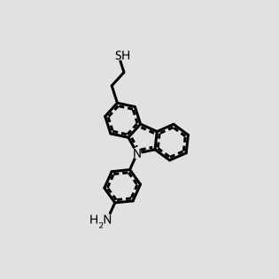 Nc1ccc(-n2c3ccccc3c3cc(CCS)ccc32)cc1